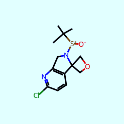 CC(C)(C)[S+]([O-])N1Cc2nc(Cl)ccc2C12COC2